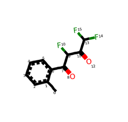 Cc1ccccc1C(=O)C(F)C(=O)C(F)F